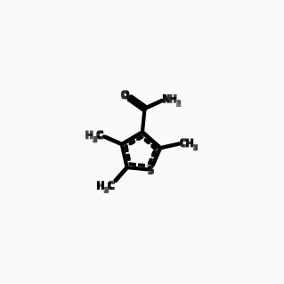 Cc1sc(C)c(C(N)=O)c1C